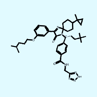 CC(C)CCCOc1cccc(C2=NC3(CCC(C4(C)CC4)CC3)N([C@H](CCC(C)(C)C)c3ccc(C(=O)NCc4nn[nH]n4)cc3)C2=O)c1